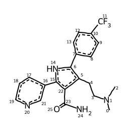 CN(C)CCc1c(-c2ccc(C(F)(F)F)cc2)[nH]c(-c2cccnc2)c1C(N)=O